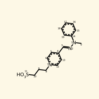 CN(N=Cc1cc[n+](CCCS(=O)(=O)O)cc1)c1ccccc1